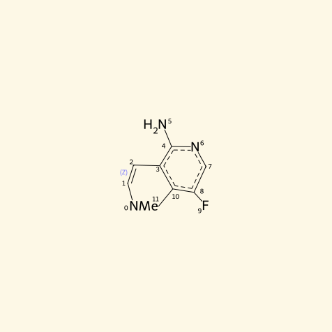 CN/C=C\c1c(N)ncc(F)c1C